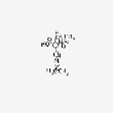 CCc1c(NC(=O)C2(CC)CC2)cc(-c2ccc(N3CCC(N(C)C)CC3)nc2)cc1C(=O)O